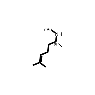 CCCCN[C@H](C)CCC=C(C)C